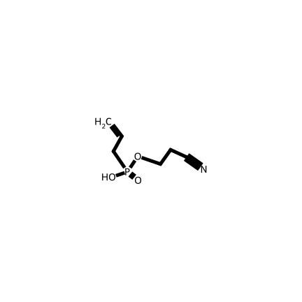 C=CCP(=O)(O)OCCC#N